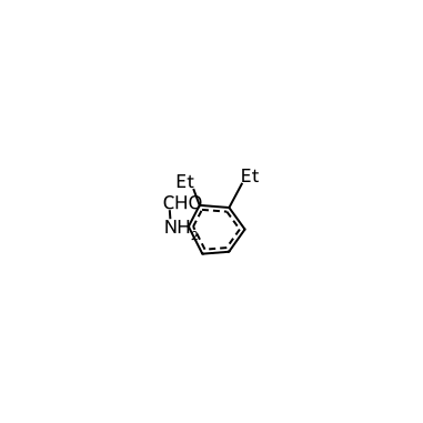 CCc1ccccc1CC.NC=O